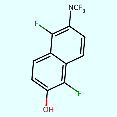 Oc1ccc2c(F)c(NC(F)(F)F)ccc2c1F